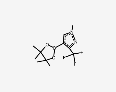 Cn1cc(B2OC(C)(C)C(C)(C)O2)c(C(F)(F)F)n1